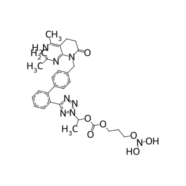 C=C(C)/N=C1\C(=C(\C)N)CCC(=O)N1Cc1ccc(-c2ccccc2-c2nnn(C(C)OC(=O)OCCCON(O)O)n2)cc1